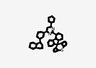 c1ccc(-c2cc(-c3cccc(-c4cccc5ccccc45)c3)nc(-c3cccc4c3-c3ccccc3C43c4ccccc4Sc4ccccc43)n2)cc1